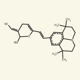 CC1(C)CCN2CCC(C)(C)c3cc(C=CC4=CCC(=CC#N)C(C(C)(C)C)O4)cc1c32